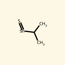 C[CH](C)[Sn]=[S]